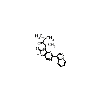 C[C@@H](C(=O)N(C)C)n1c(=O)[nH]c2cnc(-c3cnn4ccccc34)nc21